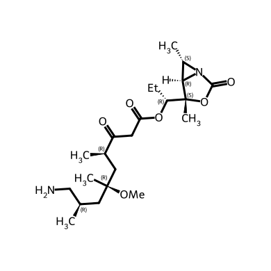 CC[C@@H](OC(=O)CC(=O)[C@H](C)C[C@@](C)(C[C@@H](C)CN)OC)[C@@]1(C)OC(=O)N2[C@@H](C)[C@@H]21